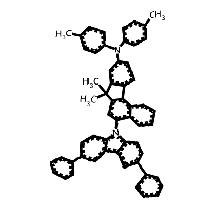 Cc1ccc(N(c2ccc(C)cc2)c2ccc3c(c2)C(C)(C)c2cc(-n4c5ccc(-c6ccccc6)cc5c5cc(-c6ccccc6)ccc54)c4ccccc4c2-3)cc1